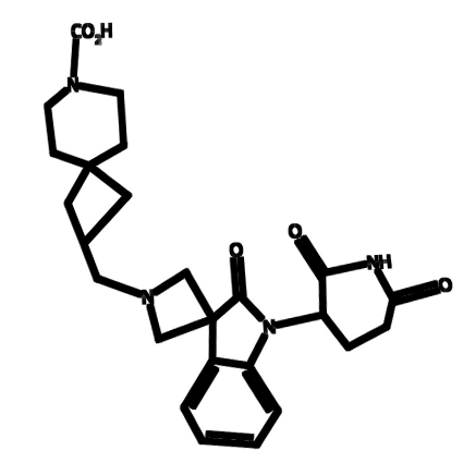 O=C1CCC(N2C(=O)C3(CN(CC4CC5(CCN(C(=O)O)CC5)C4)C3)c3ccccc32)C(=O)N1